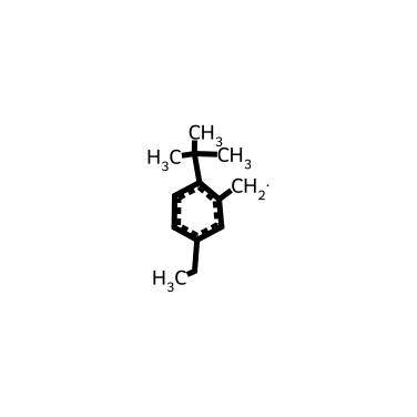 [CH2]c1cc(CC)ccc1C(C)(C)C